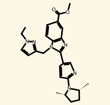 CCn1ccc(Cn2c(-c3ccc(N4[C@H](C)CC[C@@H]4C)nc3)nc3cc(C(=O)OC)ccc32)n1